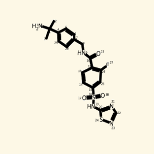 CC(C)(N)c1ccc(CNC(=O)c2ccc(S(=O)(=O)Nc3ncns3)cc2F)cc1